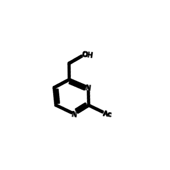 CC(=O)c1nccc(CO)n1